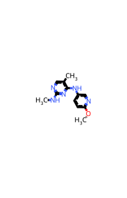 CNc1ncc(C)c(Nc2ccc(OC)nc2)n1